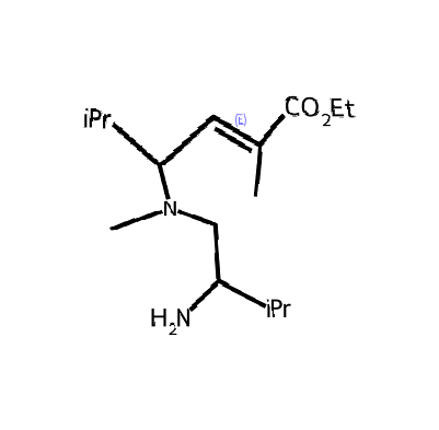 CCOC(=O)/C(C)=C/C(C(C)C)N(C)CC(N)C(C)C